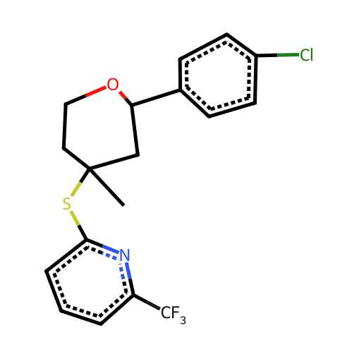 CC1(Sc2cccc(C(F)(F)F)n2)CCOC(c2ccc(Cl)cc2)C1